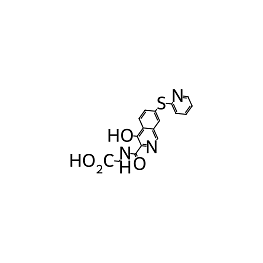 O=C(O)CNC(=O)c1ncc2cc(Sc3ccccn3)ccc2c1O